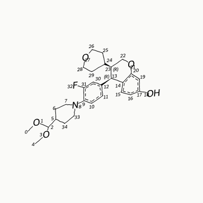 COC(OC)C1CCN(c2ccc([C@@H]3c4ccc(O)cc4OC[C@@H]3C3CCOCC3)cc2F)CC1